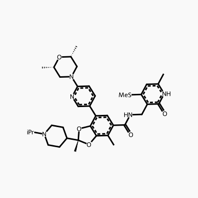 CSc1cc(C)[nH]c(=O)c1CNC(=O)c1cc(-c2ccc(N3C[C@@H](C)O[C@@H](C)C3)nc2)c2c(c1C)O[C@](C)(C1CCN(C(C)C)CC1)O2